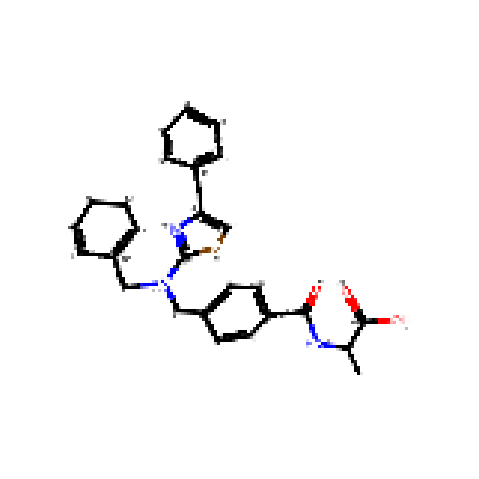 CC(NC(=O)c1ccc(CN(CC2=CCCC=C2)c2nc(-c3ccccc3)cs2)cc1)C(=O)O